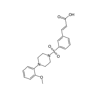 COc1ccccc1N1CCN(S(=O)(=O)c2cccc(C=CC(=O)O)c2)CC1